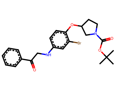 CC(C)(C)OC(=O)N1CCC(Oc2ccc(NCC(=O)c3ccccc3)cc2Br)C1